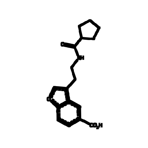 O=C(O)c1ccc2occ(CCNC(=O)C3CCCC3)c2c1